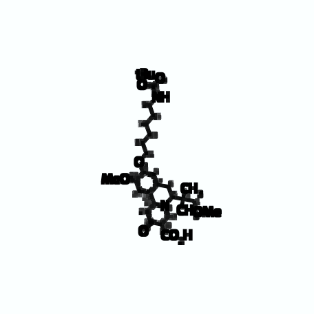 COCC(C)(C)C1Cc2cc(OCCCCCCNC(=O)OC(C)(C)C)c(OC)cc2-c2cc(=O)c(C(=O)O)cn21